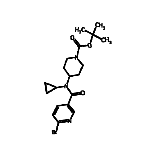 CC(C)(C)OC(=O)N1CCC(N(C(=O)c2ccc(Br)nc2)C2CC2)CC1